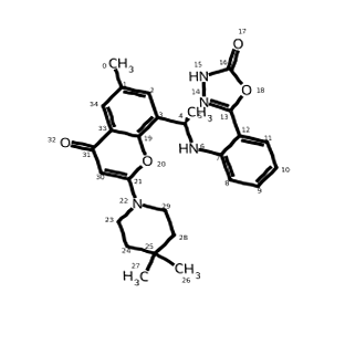 Cc1cc([C@@H](C)Nc2ccccc2-c2n[nH]c(=O)o2)c2oc(N3CCC(C)(C)CC3)cc(=O)c2c1